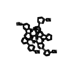 CC(C)(C)c1ccc2c(c1)c1ccccc1n2-c1cc(-c2cccc(C#N)c2)ccc1-c1nc(-c2ccccc2-c2ccc(C#N)cc2)nc(-c2ccc(-c3cccc(C#N)c3)cc2-n2c3ccccc3c3cc(C(C)(C)C)ccc32)n1